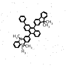 CN1c2ccccc2[Si](C)(C)c2ccc(-c3c4ccccc4c(-c4ccc5c(c4)C(C)(C)c4ccccc4-5)c4cc(-c5ccccc5)ccc34)cc21